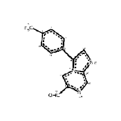 O=Cc1cn2c(-c3ccc(C(F)(F)F)cc3)cnc2cn1